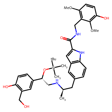 COc1ccc(O)c(OC)c1CNC(=O)c1cc2cc(C[C@@H](C)NC[C@@H](O[Si](C)(C)C(C)(C)C)c3ccc(O)c(CO)c3)ccc2[nH]1